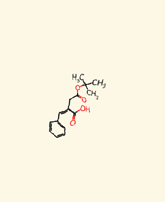 CC(C)(C)OC(=O)CC(=Cc1ccccc1)C(=O)O